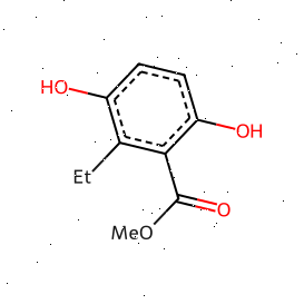 CCc1c(O)ccc(O)c1C(=O)OC